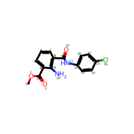 COC(=O)c1cccc(C(=O)Nc2ccc(Cl)cc2)c1N